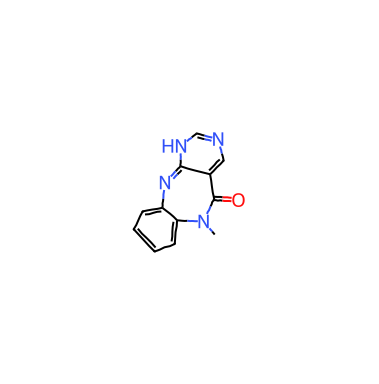 CN1C(=O)C2=CN=CNC2=Nc2ccccc21